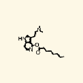 CCCCCCCC(=O)Oc1nccc2[nH]cc(CCN(C)C)c12